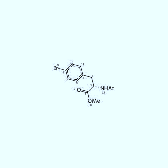 COC(=O)[C@H](Cc1ccc(Br)cc1)NC(C)=O